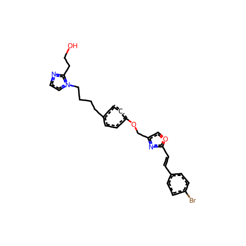 OCCc1nccn1CCCCc1ccc(OCc2coc(C=Cc3ccc(Br)cc3)n2)cc1